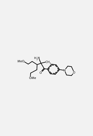 COCCC(CCOC)C(C)(N)C(=O)c1ccc(N2CCOCC2)cc1